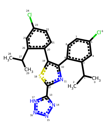 CC(C)c1cc(Cl)ccc1-c1nc(-c2nnn[nH]2)sc1-c1ccc(Cl)cc1C(C)C